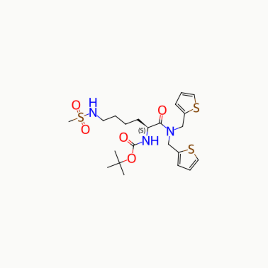 CC(C)(C)OC(=O)N[C@@H](CCCCNS(C)(=O)=O)C(=O)N(Cc1cccs1)Cc1cccs1